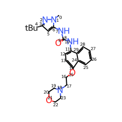 Cn1nc(C(C)(C)C)cc1NC(=O)Nc1ccc(OCCN2CCOCC2)c2ccccc12